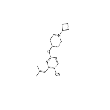 CC(C)=Cc1nc(OC2CCN(C3CCC3)CC2)ccc1C#N